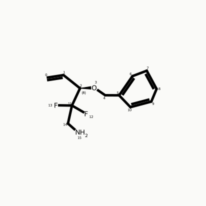 C=C[C@@H](OCc1ccccc1)C(F)(F)CN